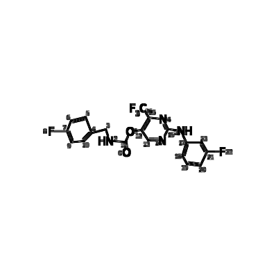 O=C(NCc1ccc(F)cc1)Oc1cnc(Nc2cccc(F)c2)nc1C(F)(F)F